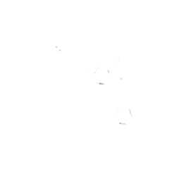 O=C1CC(c2ccccc2)Oc2cc(OCCCN3CCOCC3)cc(O)c21